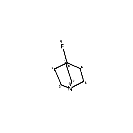 FC12[CH]CN(CC1)CC2